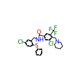 O=C(NCc1cc(Cl)ccc1Sc1ccccc1)c1cc(Cl)c(CN2CCCCC2)c(C(F)(F)F)c1